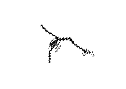 CCCCCCCCCCCCC(CCCCCCCC#CC#CCCCCCCCCC(N)=O)(CCCCCCCCCCCC)C(N)=O